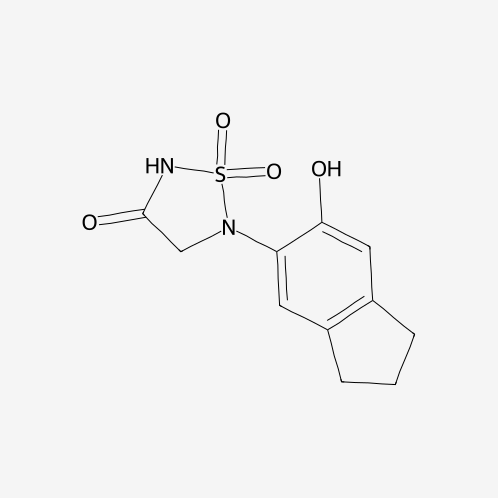 O=C1CN(c2cc3c(cc2O)CCC3)S(=O)(=O)N1